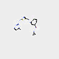 Cc1ccnc(Nc2ncc(CNc3cc(C(=O)NC4CC4)ccc3F)s2)n1